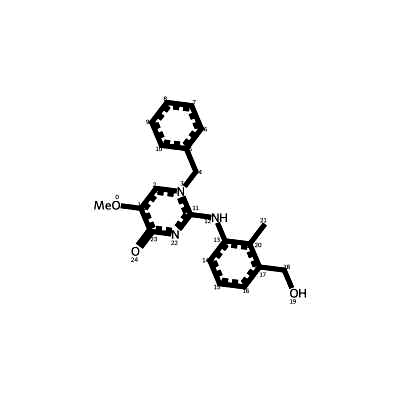 COc1cn(Cc2ccccc2)c(Nc2cccc(CO)c2C)nc1=O